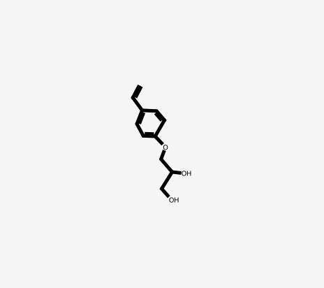 C=Cc1ccc(OCC(O)CO)cc1